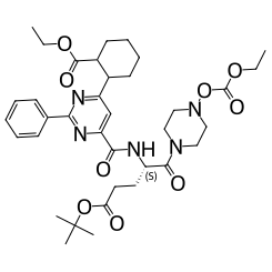 CCOC(=O)ON1CCN(C(=O)[C@H](CCC(=O)OC(C)(C)C)NC(=O)c2cc(C3CCCCC3C(=O)OCC)nc(-c3ccccc3)n2)CC1